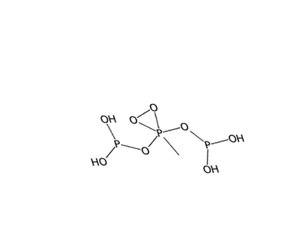 CP1(OP(O)O)(OP(O)O)OO1